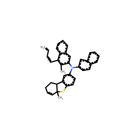 C=C/C=C\c1c(C)c(N(c2ccc3c(c2)C2CCC=CC2(C)S3)c2ccc3ccccc3c2)cc2ccccc12